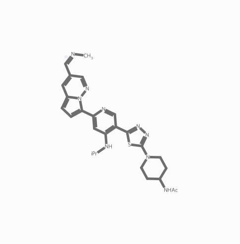 C/N=C\c1cnn2c(-c3cc(NC(C)C)c(-c4nnc(N5CCC(NC(C)=O)CC5)s4)cn3)ccc2c1